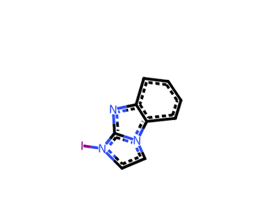 In1ccn2c3ccccc3nc12